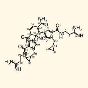 N=C(N)CCNC(=O)c1cc(C2=C(C(N)=O)C=CC(C(N)=O)C2(c2cc(C(=O)NCCC(=N)N)n(CC3CC3)c2)[N+](=O)[O-])cn1CC1CC1